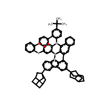 CC(C)(C)c1ccc(N2c3cc4c(cc3B3c5c(cc6ccccc6c52)-c2cc(C56CC7CC8CC7(C5)C8C6)cc5c6cc(C78CC9CC%10CC(C7)C%109C8)ccc6n3c25)Sc2ccccc2S4)c(-c2ccccc2)c1